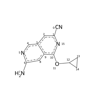 N#Cc1cc2cnc(N)cc2c(OC2CC2)n1